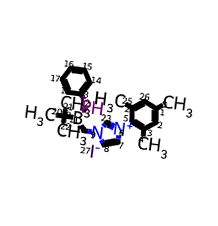 Cc1cc(C)c(-[n+]2ccn(CB(Pc3ccccc3)C(C)(C)C)c2)c(C)c1.[I-]